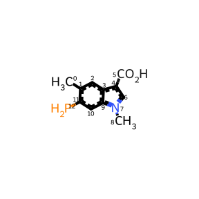 Cc1cc2c(C(=O)O)cn(C)c2cc1P